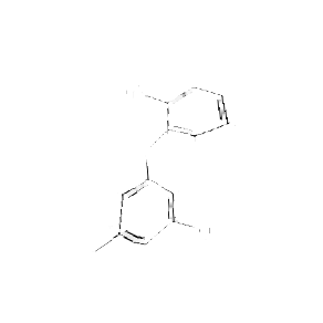 Nc1ccccc1Oc1cc(Cl)cc(Cl)c1